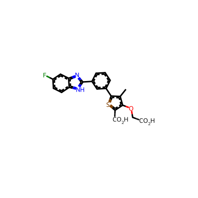 Cc1c(-c2cccc(-c3nc4cc(F)ccc4[nH]3)c2)sc(C(=O)O)c1OCC(=O)O